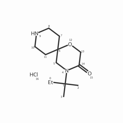 CCC(C)(C)N1CC2(CCNCC2)OCC1=O.Cl